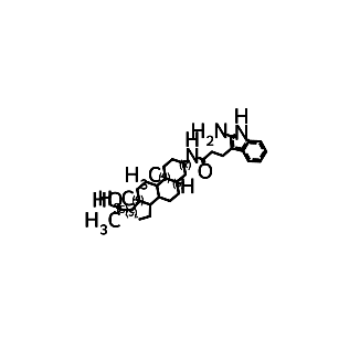 C[C@H](O)[C@H]1CCC2C3CC[C@H]4C[C@H](NC(=O)CCc5c(N)[nH]c6ccccc56)CC[C@]4(C)C3CC[C@@]21C